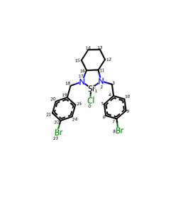 Cl[Si]1N(Cc2ccc(Br)cc2)C2CCCCC2N1Cc1ccc(Br)cc1